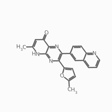 Cc1cc(=O)c2nc(-c3ccc4ncccc4c3)c(-c3ccc(C)o3)nc2[nH]1